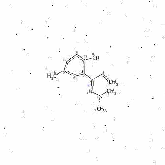 C=C/C(=N\N(C)C)c1cc(C)ccc1C#N